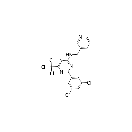 Clc1cc(Cl)cc(-c2nc(NCc3cccnc3)nc(C(Cl)(Cl)Cl)n2)c1